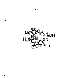 C[C@H](O)CC[C@H](C)Oc1ccc(C#N)c(C(F)(F)F)c1.N#Cc1ccc(OCCCCCO)cc1C(F)(F)F